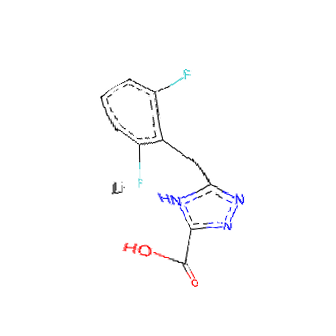 O=C(O)c1nnc(Cc2c(F)cccc2F)[nH]1.[Li]